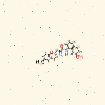 Cc1ccc2c(c1)CCC(CNC(=O)Nc1cccc3c1CC(O)CC3)O2